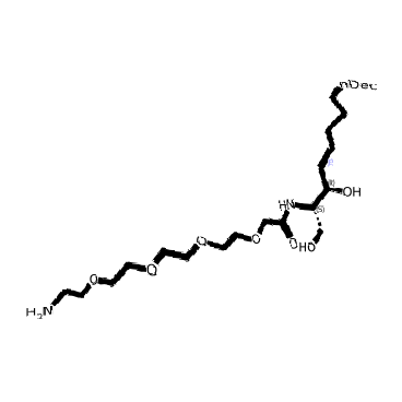 CCCCCCCCCCCCC/C=C/[C@@H](O)[C@H](CO)NC(=O)COCCOCCOCCOCCN